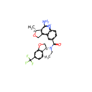 CCN(C(=O)c1ccc2nc(N)c3c(c2c1)CO[C@@H]3C)[C@H]1COc2cc(C(F)(F)F)ccc21